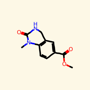 COC(=O)c1ccc2c(c1)CNC(=O)N2C